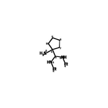 CCNC(NCC)C1([SiH3])CCCC1